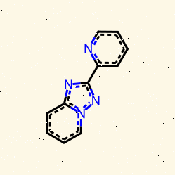 c1ccc(-c2nc3ccccn3n2)nc1